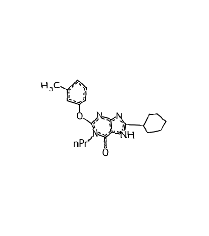 CCCn1c(Oc2cccc(C)c2)nc2nc(C3CCCCC3)[nH]c2c1=O